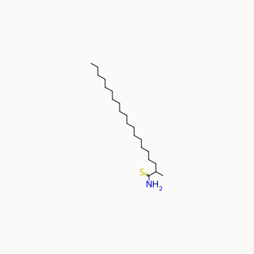 CCCCCCCCCCCCCCCCCCC(C)C(N)=S